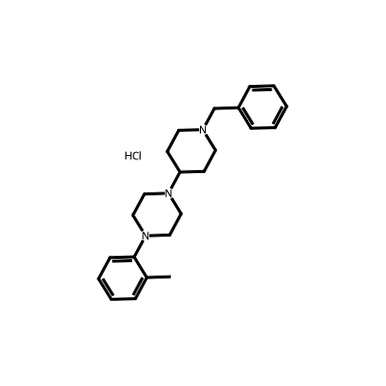 Cc1ccccc1N1CCN(C2CCN(Cc3ccccc3)CC2)CC1.Cl